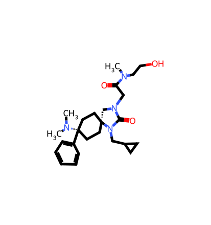 CN(CCO)C(=O)CN1C[C@]2(CC[C@@](c3ccccc3)(N(C)C)CC2)N(CC2CC2)C1=O